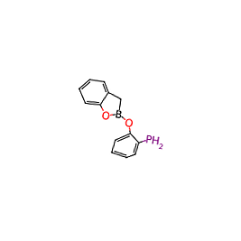 Pc1ccccc1OB1Cc2ccccc2O1